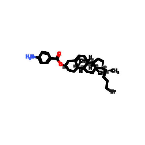 CC(C)CCC[C@@H](C)[C@H]1CC[C@H]2[C@@H]3CC=C4C[C@@H](OC(=O)c5ccc(N)cc5)CC[C@]4(C)[C@H]3CC[C@]12C